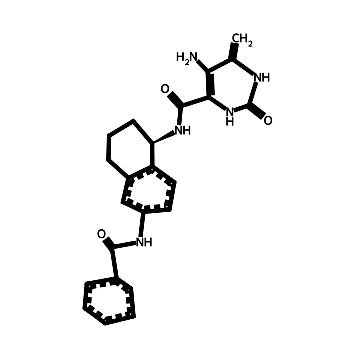 C=C1NC(=O)NC(C(=O)N[C@@H]2CCCc3cc(NC(=O)c4ccccc4)ccc32)=C1N